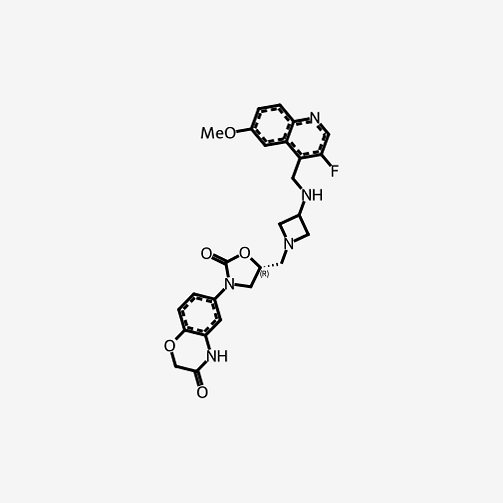 COc1ccc2ncc(F)c(CNC3CN(C[C@@H]4CN(c5ccc6c(c5)NC(=O)CO6)C(=O)O4)C3)c2c1